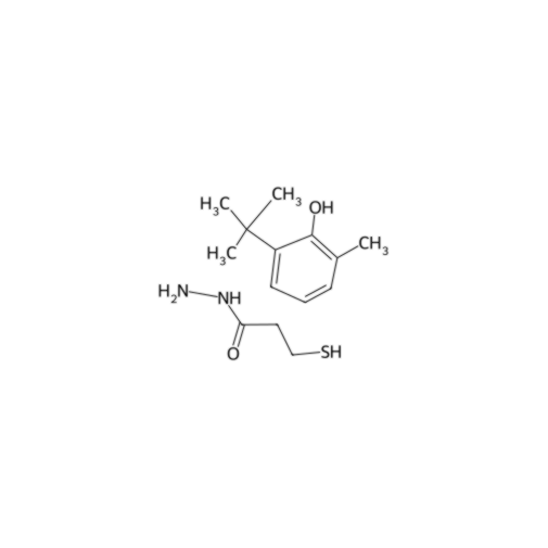 Cc1cccc(C(C)(C)C)c1O.NNC(=O)CCS